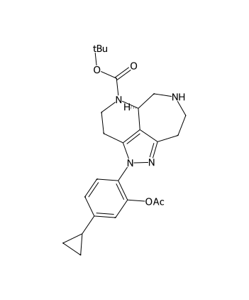 CC(=O)Oc1cc(C2CC2)ccc1-n1nc2c3c1CCN(C(=O)OC(C)(C)C)[C@H]3CNCC2